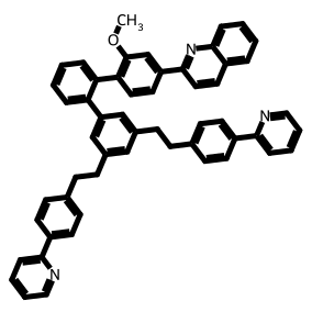 COc1cc(-c2ccc3ccccc3n2)ccc1-c1ccccc1-c1cc(CCc2ccc(-c3ccccn3)cc2)cc(CCc2ccc(-c3ccccn3)cc2)c1